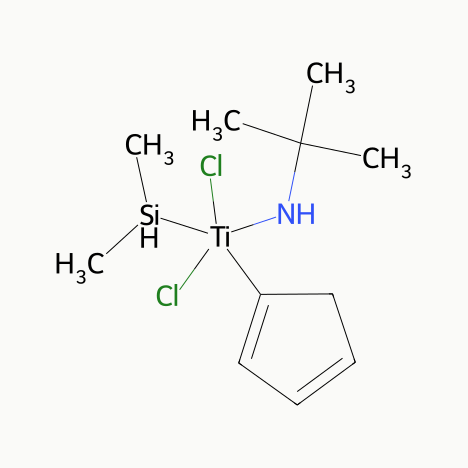 C[SiH](C)[Ti]([Cl])([Cl])([NH]C(C)(C)C)[C]1=CC=CC1